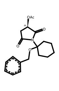 CC(=O)O[C@@H]1CC(=O)N(C2(OCc3ccccc3)CCCCC2)C1=O